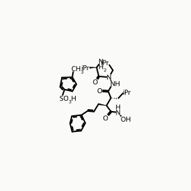 CC(C)C[C@@H](C(=O)NN(CC(C)C)C(=O)[C@H](N)C(C)C)[C@H](CC=Cc1ccccc1)C(=O)NO.Cc1ccc(S(=O)(=O)O)cc1